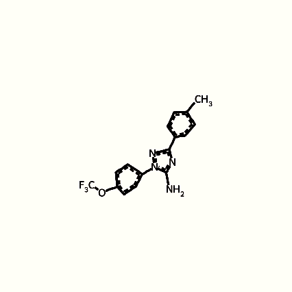 Cc1ccc(-c2nc(N)n(-c3ccc(OC(F)(F)F)cc3)n2)cc1